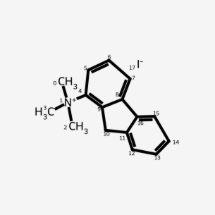 C[N+](C)(C)c1cccc2c1Cc1ccccc1-2.[I-]